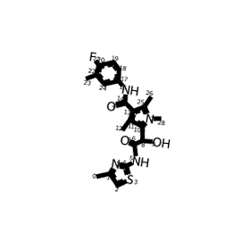 Cc1csc(NC(=O)C(O)c2c(C)c(C(=O)Nc3ccc(F)c(C)c3)c(C)n2C)n1